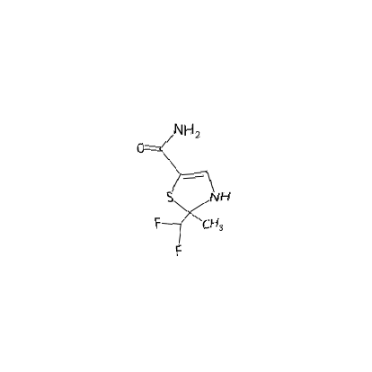 CC1(C(F)F)NC=C(C(N)=O)S1